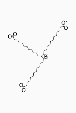 O=C([O-])CCCCCCCCCCC[C]1=[Bi][C](CCCCCCCCCCCC(=O)[O-])=C1CCCCCCCCCCCC(=O)[O-]